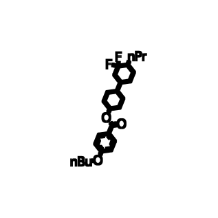 CCCCOc1ccc(C(=O)OC2CCC(C3CCC(CCC)C(F)(F)C3)CC2)cc1